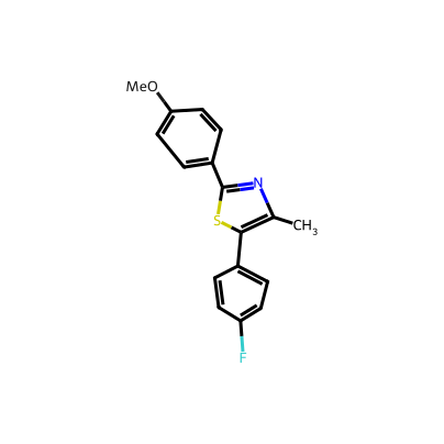 COc1ccc(-c2nc(C)c(-c3ccc(F)cc3)s2)cc1